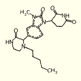 CCCCCN1CCNC(=O)C1c1ccc2c(c1)n(C)c(=O)n2C1CCC(=O)NC1=O